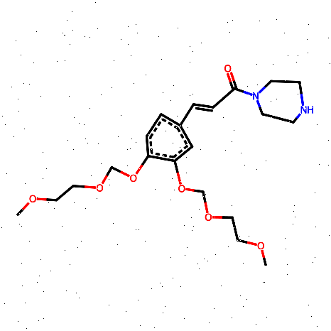 COCCOCOc1ccc(/C=C/C(=O)N2CCNCC2)cc1OCOCCOC